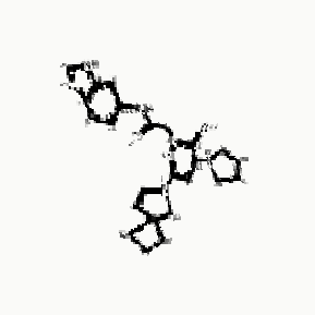 O=C(Cn1nc(N2CCC3(CCC3)C2)cc(N2CCCC2)c1=O)Nc1ccc2ocnc2c1